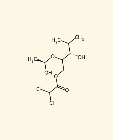 CC(C)[C@H](O)C(COC(=O)C(Cl)Cl)O[C@H](C)O